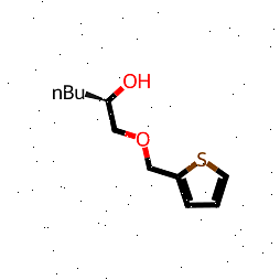 CCCC[C@@H](O)COCc1cccs1